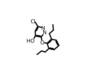 CCCc1cccc(CCC)c1Oc1nnc(Cl)cc1O